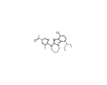 CCC(CC)c1ccc(Cl)c2nc3n(c12)CCCCN3c1ncc(C(C)=O)cc1C